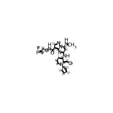 CNc1cc(NC2=CC=CN(n3cccc3)C2=C=O)nc2c(C(=O)NOCC(F)(F)F)cnn12